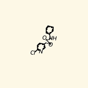 O=S(=O)(Nc1ccccc1)c1ccc(Cl)nc1